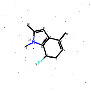 CC1=CCC(F)c2c1cc(C)n2C